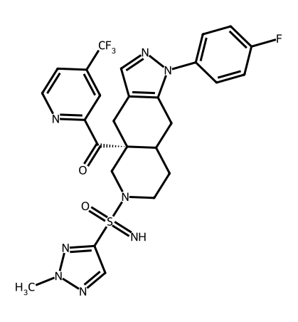 Cn1ncc(S(=N)(=O)N2CCC3Cc4c(cnn4-c4ccc(F)cc4)C[C@]3(C(=O)c3cc(C(F)(F)F)ccn3)C2)n1